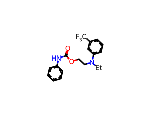 CCN(CCOC(=O)Nc1ccccc1)c1cccc(C(F)(F)F)c1